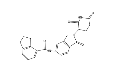 O=C1CCC(N2Cc3cc(NC(=O)c4cccc5c4CCC5)ccc3C2=O)C(=O)N1